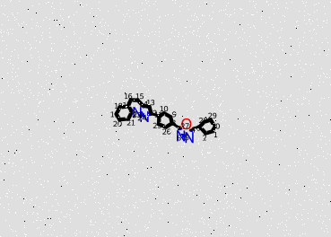 c1ccc(-c2nnc(-c3ccc(-c4cc5ccc6ccccc6n5n4)cc3)o2)cc1